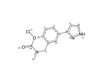 CN(Cc1cccc(-c2cc[nH]n2)c1)C(=O)OCl